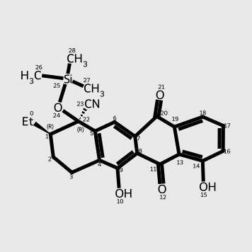 CC[C@@H]1CCc2c(cc3c(c2O)C(=O)c2c(O)cccc2C3=O)[C@]1(C#N)O[Si](C)(C)C